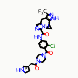 O=C(Nc1ccc(C(=O)N2CCN(C(=O)C[C@H]3CCNC3)CC2)c(Cl)c1)c1ncc(Cc2c(C(F)(F)F)n[nH]c2C2CC2)[nH]1